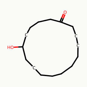 O=C1CCCCCCCCCCC(O)CCCC1